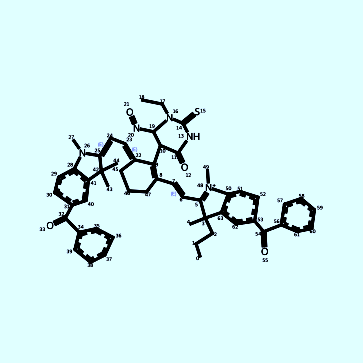 CCCC1(C)C(/C=C/C2=C(C3C(=O)NC(=S)N(CC)C3N=O)C(=C/C=C3/N(C)c4ccc(C(=O)c5ccccc5)cc4C3(C)C)/CCC2)=[N+](C)c2ccc(C(=O)c3ccccc3)cc21